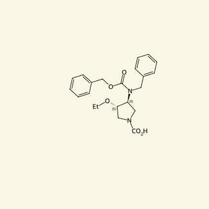 CCO[C@H]1CN(C(=O)O)C[C@@H]1N(Cc1ccccc1)C(=O)OCc1ccccc1